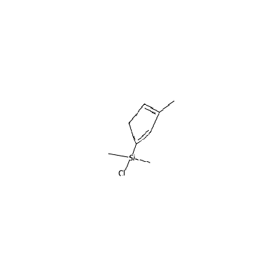 CC1=CCC([Si](C)(C)Cl)=C1